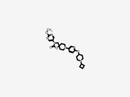 COc1ncc(N2CC3(CCN(c4ccc(OC5CCN(C6CCC6)CC5)nc4)CC3)OC2=O)cn1